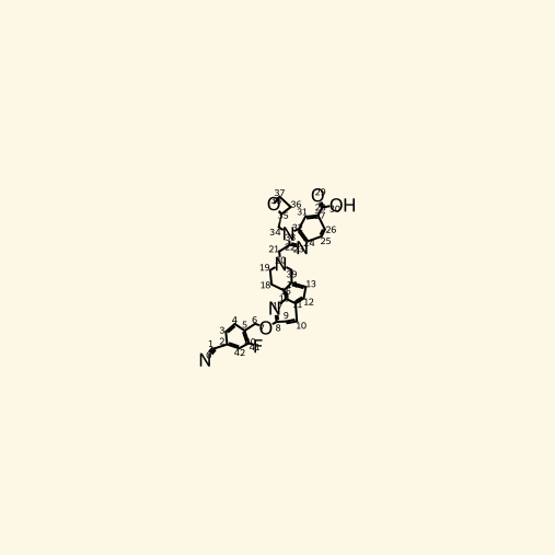 N#Cc1ccc(COc2ccc3ccc4c(c3n2)CCN(Cc2nc3ccc(C(=O)O)cc3n2C[C@@H]2CCO2)C4)c(F)c1